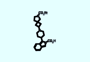 CCOC(=O)N1CCC2(CC(N3CCC(c4c5ccccc5cn4C(=O)O)CC3)C2)C1